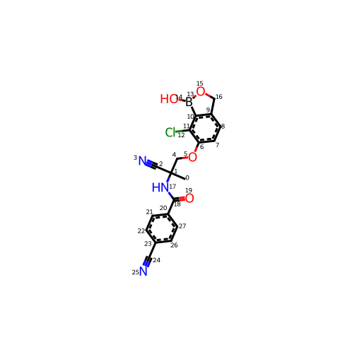 CC(C#N)(COc1ccc2c(c1Cl)B(O)OC2)NC(=O)c1ccc(C#N)cc1